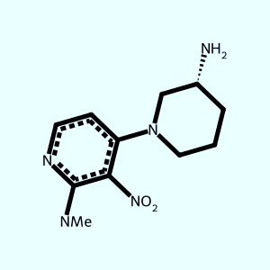 CNc1nccc(N2CCC[C@@H](N)C2)c1[N+](=O)[O-]